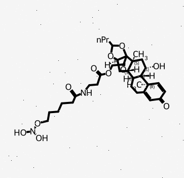 CCCC1O[C@@H]2C[C@H]3[C@@H]4CCC5=CC(=O)C=C[C@]5(C)[C@H]4[C@@H](O)C[C@]3(C)C2(C(=O)COC(=O)CCNC(=O)CCCCCON(O)O)O1